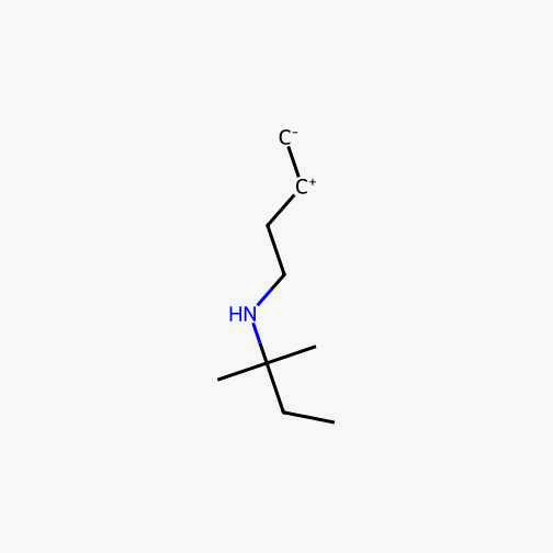 [CH2-][CH+]CCNC(C)(C)CC